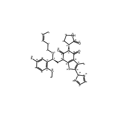 C/N=C\CCO[C@@H](Cn1c(=O)n([C@H]2CCNC2=O)c(=O)c2c(C)c(-n3nccn3)sc21)c1cc(F)ccc1OC